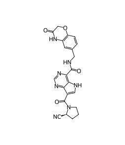 N#C[C@@H]1CCCN1C(=O)c1c[nH]c2c(C(=O)NCc3ccc4c(c3)NC(=O)CO4)ncnc12